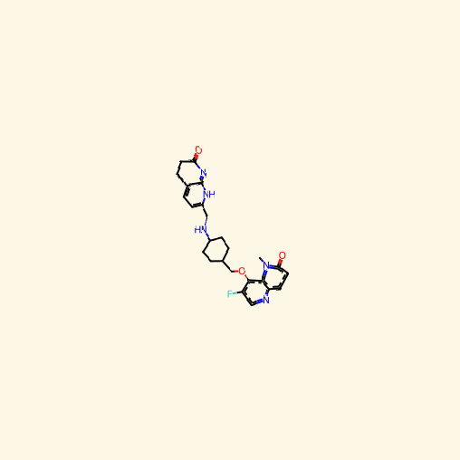 Cn1c(=O)ccc2ncc(F)c(OCC3CCC(NCC4=CC=C5CCC(=O)N=C5N4)CC3)c21